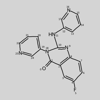 O=c1c2cc(F)ccc2nc(Nc2cccnc2)n1-c1cccnc1